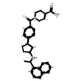 CC(NC1CCC(c2ccc(C(=O)N3CCC(C(=O)O)CC3)cc2)C1)c1cccc2ccccc12